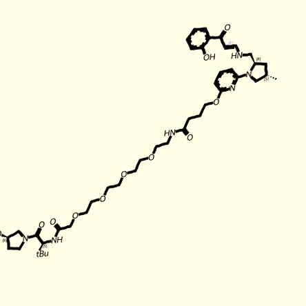 C[C@H]1C[C@H](CN/C=C/C(=O)c2ccccc2O)N(c2cccc(OCCCC(=O)NCCOCCOCCOCCOCC(=O)N[C@H](C(=O)N3CC[C@@H](O)C3)C(C)(C)C)n2)C1